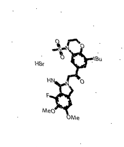 Br.COc1cc2c(c(F)c1OC)C(=N)N(CC(=O)c1cc3c(c(C(C)(C)C)c1)OCCN3S(C)(=O)=O)C2